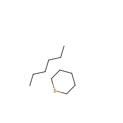 C1CCSCC1.CCCCCC